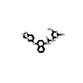 CC(C)c1nc(NC(=O)NC2CCC(Oc3ccc4nncn4c3)c3ccccc32)cc(C(C)(C)C)n1